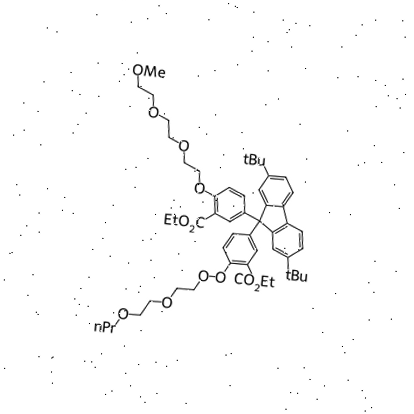 CCCOCCOCCOOc1ccc(C2(c3ccc(OCCOCCOCCOC)c(C(=O)OCC)c3)c3cc(C(C)(C)C)ccc3-c3ccc(C(C)(C)C)cc32)cc1C(=O)OCC